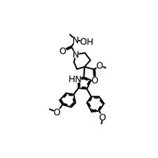 COC(=O)C1(c2cc(-c3ccc(OC)cc3)c(-c3ccc(OC)cc3)[nH]2)CCN(C(=O)N(C)O)CC1